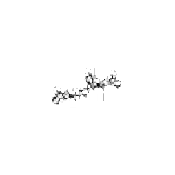 O=C(CN1CCC(N(CC(=O)Nc2ccc3c(c2)C2=CC=CCC2C3=O)c2ccc(O)cc2)CC1)Nc1ccc2c(c1)-c1ccccc1C2=O